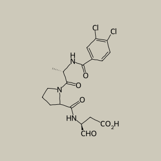 C[C@H](NC(=O)c1ccc(Cl)c(Cl)c1)C(=O)N1CCCC1C(=O)N[C@H](C=O)CC(=O)O